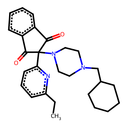 CCc1cccc(C2(N3CCN(CC4CCCCC4)CC3)C(=O)c3ccccc3C2=O)n1